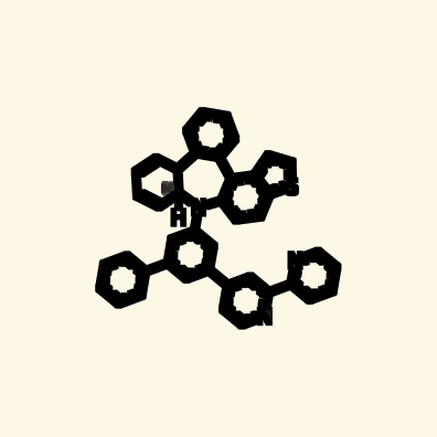 C1=CC2c3ccccc3-c3c(ccc4sccc34)N(c3cc(-c4ccccc4)cc(-c4ccnc(-c5ccccn5)c4)c3)[C@@H]2C=C1